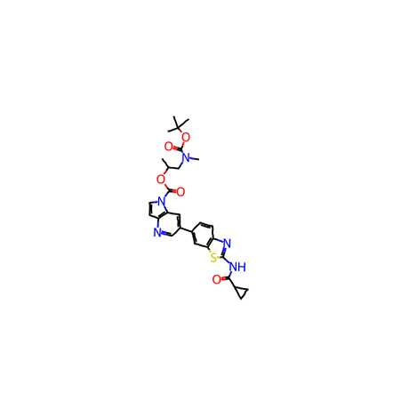 CC(CN(C)C(=O)OC(C)(C)C)OC(=O)n1ccc2ncc(-c3ccc4nc(NC(=O)C5CC5)sc4c3)cc21